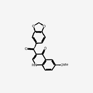 COc1ccc2[nH]cc(C(=O)c3ccc4c(c3)OCO4)c(=O)c2c1